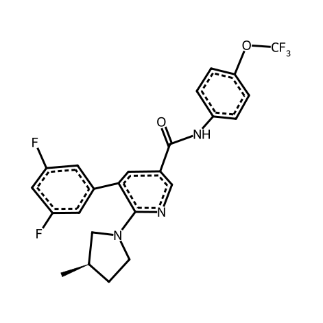 C[C@@H]1CCN(c2ncc(C(=O)Nc3ccc(OC(F)(F)F)cc3)cc2-c2cc(F)cc(F)c2)C1